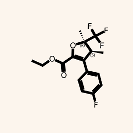 CCOC(=O)C1=C(c2ccc(F)cc2)[C@H](C)[C@](C)(C(F)(F)F)O1